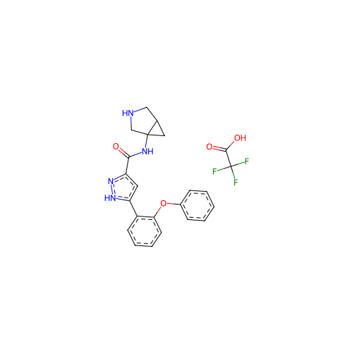 O=C(NC12CNCC1C2)c1cc(-c2ccccc2Oc2ccccc2)[nH]n1.O=C(O)C(F)(F)F